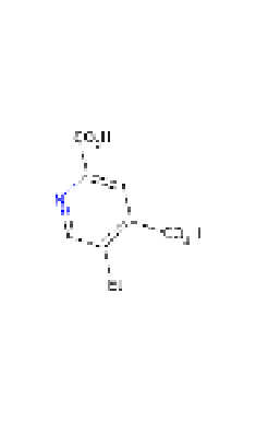 CCc1cnc(C(=O)O)cc1C(=O)O